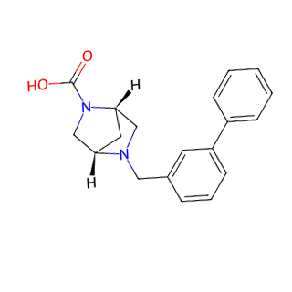 O=C(O)N1C[C@@H]2C[C@H]1CN2Cc1cccc(-c2ccccc2)c1